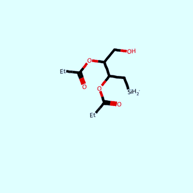 CCC(=O)OC(CO)C(C[SiH2])OC(=O)CC